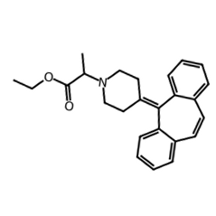 CCOC(=O)C(C)N1CCC(=C2c3ccccc3C=Cc3ccccc32)CC1